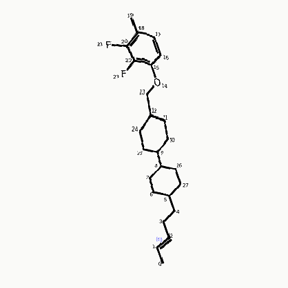 C/C=C/CCC1CCC(C2CCC(COc3ccc(C)c(F)c3F)CC2)CC1